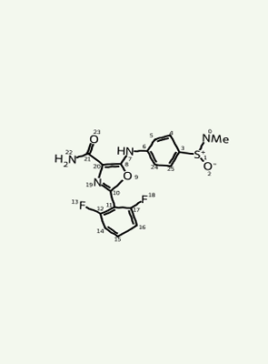 CN[S+]([O-])c1ccc(Nc2oc(-c3c(F)cccc3F)nc2C(N)=O)cc1